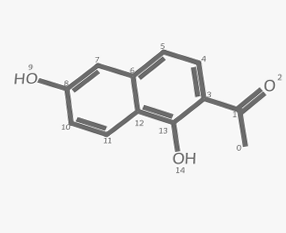 CC(=O)c1ccc2cc(O)ccc2c1O